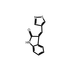 O=C1Nc2ccccc2/C1=C/c1cnsc1